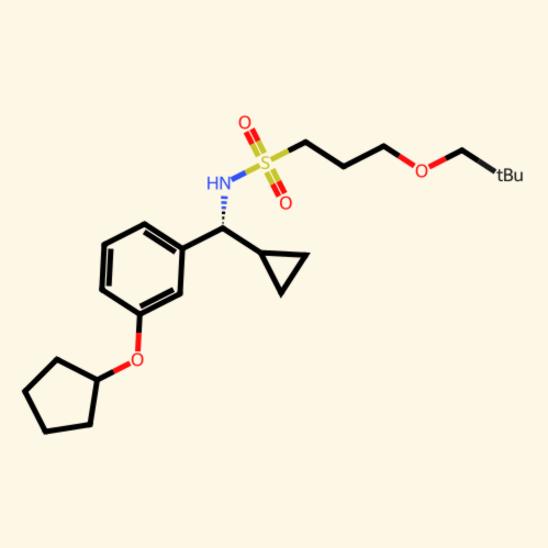 CC(C)(C)COCCCS(=O)(=O)N[C@@H](c1cccc(OC2CCCC2)c1)C1CC1